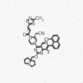 Cc1noc(/C=C/C(=O)N2CCN(c3nc(OCC45CCCN4CCC5)nc4c(F)c(-c5cccc6cccc(Cl)c56)ncc34)C[C@@H]2CC#N)n1